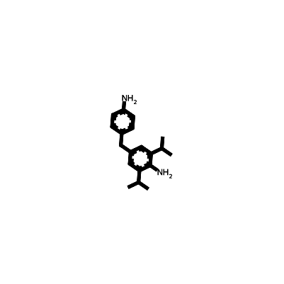 CC(C)c1cc(Cc2ccc(N)cc2)cc(C(C)C)c1N